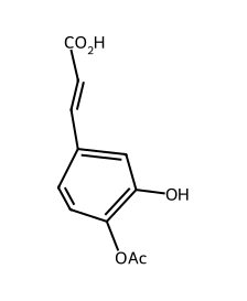 CC(=O)Oc1ccc(C=CC(=O)O)cc1O